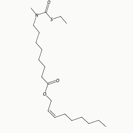 CCCCCC/C=C\COC(=O)CCCCCCCN(C)C(=O)SCC